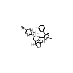 Cc1cccc(-c2sc(C)nc2C(=O)N2[C@@H]3CC[C@@H](C3)[C@H]2CNc2ncc(Br)cn2)c1